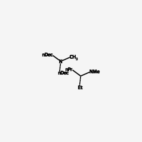 CCCC(CC)NC.CCCCCCCCCCN(C)CCCCCCCCCC